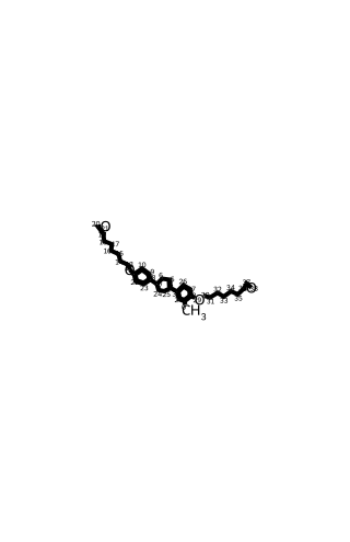 Cc1cc(C2=CCC(c3ccc(OCCCCCCC4CO4)cc3)CC2)ccc1OCCCCCCC1CO1